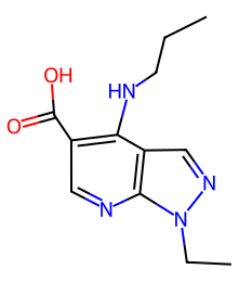 CCCNc1c(C(=O)O)cnc2c1cnn2CC